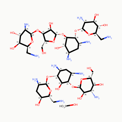 NC[C@@H]1O[C@H](O[C@H]2[C@@H](O)[C@H](O[C@@H]3[C@@H](O)[C@H](N)C[C@H](N)[C@H]3O[C@H]3O[C@H](CN)[C@@H](O)[C@H](O)[C@H]3N)O[C@@H]2CO)[C@H](N)[C@@H](O)[C@@H]1O.NC[C@H]1O[C@H](O[C@H]2[C@H](O)[C@@H](O[C@H]3O[C@H](CO)[C@@H](O)[C@H](N)[C@H]3O)[C@H](N)C[C@@H]2N)[C@H](N)C[C@@H]1O.O=S(=O)(O)O